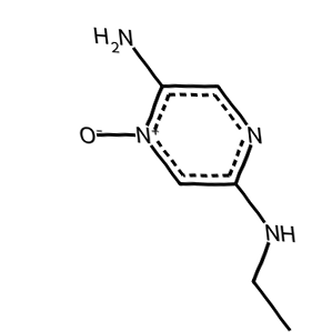 CCNc1c[n+]([O-])c(N)cn1